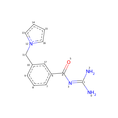 NC(N)=NC(=O)c1cccc(Cn2cccc2)c1